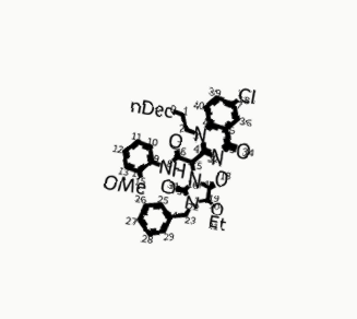 CCCCCCCCCCCCn1c(C(C(=O)Nc2ccccc2OC)N2C(=O)C(OCC)N(Cc3ccccc3)C2=O)nc(=O)c2cc(Cl)ccc21